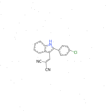 N#CC(C#N)=Cc1c(-c2ccc(Cl)cc2)[nH]c2ccccc12